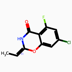 C/C=C1\NC(=O)c2c(F)cc(Cl)cc2O1